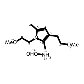 COCCc1cc(C)n(CCOC)c1C.NC=O